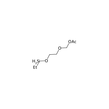 CC[SiH2]OCCOCOC(C)=O